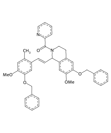 COc1cc(C)c(C=CC2c3cc(OC)c(OCc4ccccc4)cc3CCN2C(=O)c2ccccn2)cc1OCc1ccccc1